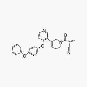 C=C(C#N)C(=O)N1CCC=C(c2cnccc2Oc2ccc(Oc3ccccc3)cc2)C1